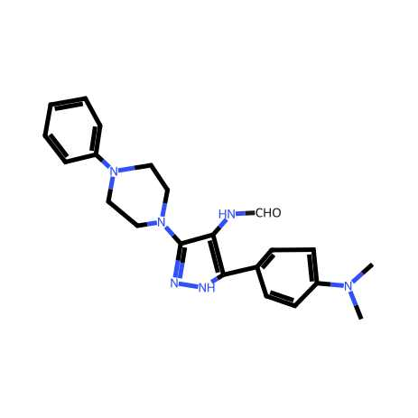 CN(C)c1ccc(-c2[nH]nc(N3CCN(c4ccccc4)CC3)c2NC=O)cc1